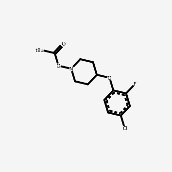 CC(C)(C)C(=O)ON1CCC(Oc2ccc(Cl)cc2F)CC1